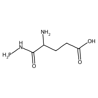 NC(CCC(=O)O)C(=O)NP